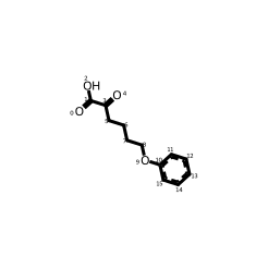 O=C(O)C(=O)CCCCOc1ccccc1